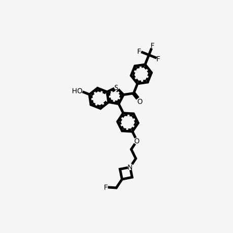 O=C(c1ccc(C(F)(F)F)cc1)c1sc2cc(O)ccc2c1-c1ccc(OCCN2CC(CF)C2)cc1